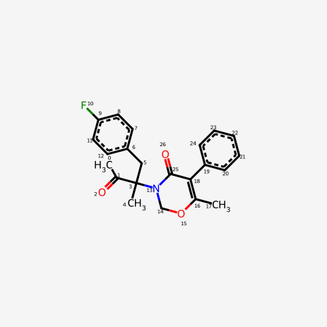 CC(=O)C(C)(Cc1ccc(F)cc1)N1COC(C)=C(c2ccccc2)C1=O